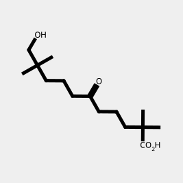 CC(C)(CO)CCCC(=O)CCCC(C)(C)C(=O)O